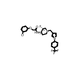 O=C(COc1cccc(Cl)c1)N[C@@H]1CCN(Cc2ccn(-c3ccc(C(F)(F)F)cc3)c2)C[C@H]1F